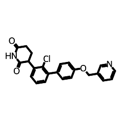 O=C1CCC(c2cccc(-c3ccc(OCc4cccnc4)cc3)c2Cl)C(=O)N1